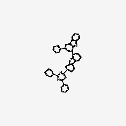 c1ccc(-c2cc(-c3cccc4c3sc3cc(-c5nc(-c6ccccc6)nc(-c6ccccc6)n5)ccc34)c3sc4ccccc4c3c2)cc1